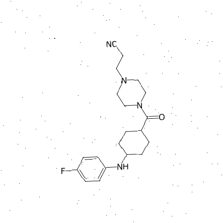 N#CCCN1CCN(C(=O)C2CCC(Nc3ccc(F)cc3)CC2)CC1